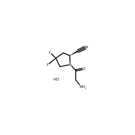 Cl.N#C[C@@H]1CC(F)(F)CN1C(=O)CN